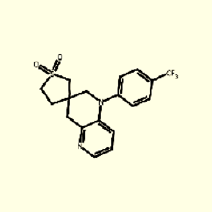 O=S1(=O)CCC2(Cc3ncccc3N(c3ccc(C(F)(F)F)cc3)C2)C1